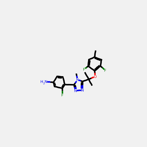 Cc1cc(F)c(OC(C)(C)c2nnc(-c3ccc(N)cc3F)n2C)c(F)c1